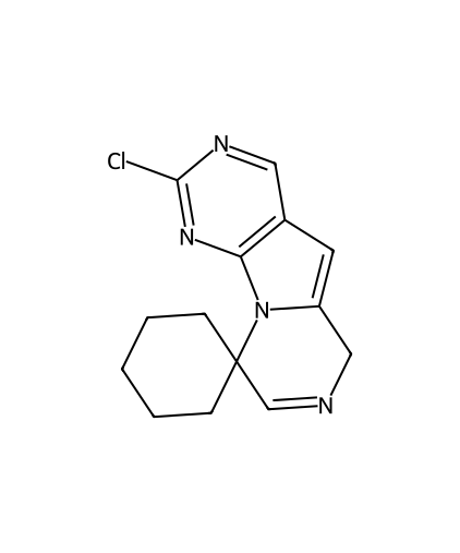 Clc1ncc2cc3n(c2n1)C1(C=NC3)CCCCC1